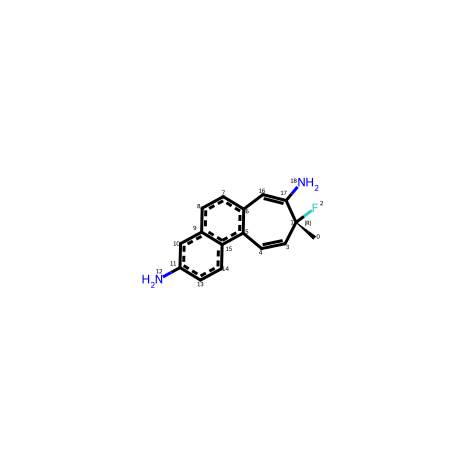 C[C@@]1(F)C=Cc2c(ccc3cc(N)ccc23)C=C1N